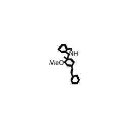 COC1C=C(C=Cc2ccccc2)C=CC1(C)C1NCc2ccccc21